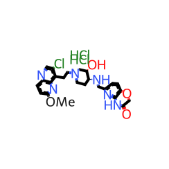 COc1ccc2ncc(Cl)c(CCN3CC[C@@H](NCc4ccc5c(n4)NC(=O)CO5)[C@@H](O)C3)c2n1.Cl.Cl